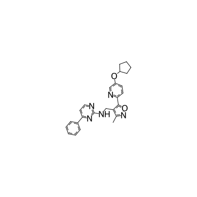 Cc1noc(-c2ccc(OC3CCCC3)cn2)c1CNc1nccc(-c2ccccc2)n1